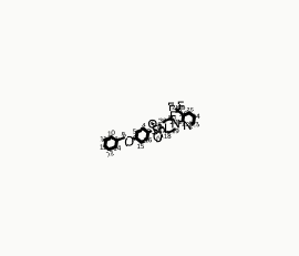 O=S(=O)(c1ccc(OCc2ccccc2)cc1)N1CCN(c2ncccc2C(F)(F)F)CC1